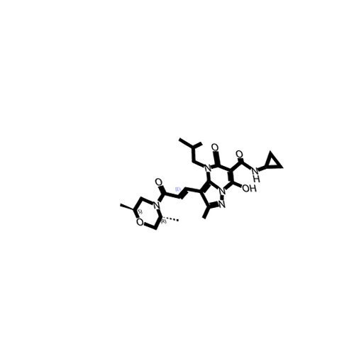 Cc1nn2c(O)c(C(=O)NC3CC3)c(=O)n(CC(C)C)c2c1/C=C/C(=O)N1C[C@H](C)OC[C@H]1C